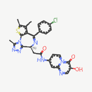 Cc1sc2c(c1C)C(c1ccc(Cl)cc1)=N[C@@H](CC(=O)Nc1ccn3c(=O)c(O)cnc3c1)c1nnc(C)n1-2